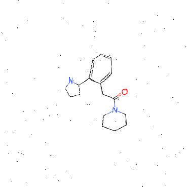 O=C(Cc1ccccc1C1CCC[N]1)N1CCCCC1